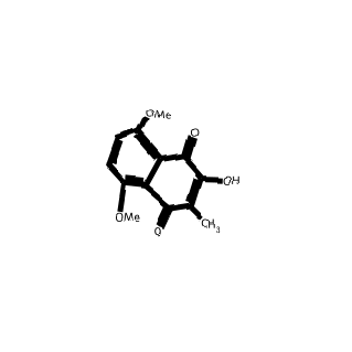 COc1ccc(OC)c2c1C(=O)C(C)=C(O)C2=O